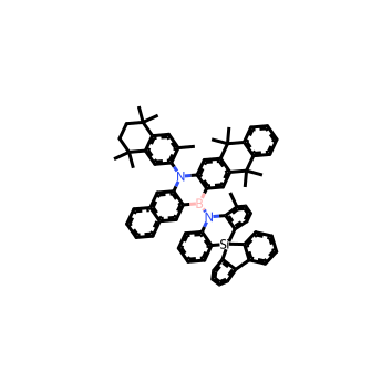 Cc1cc2c(cc1N1c3cc4c(cc3B(N3c5ccccc5[Si]5(c6ccccc6-c6ccccc65)c5cccc(C)c53)c3cc5ccccc5cc31)C(C)(C)c1ccccc1C4(C)C)C(C)(C)CCC2(C)C